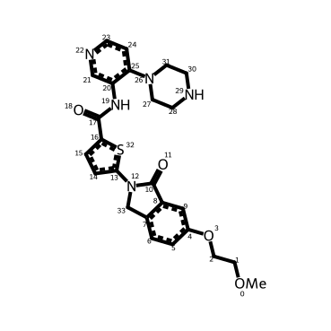 COCCOc1ccc2c(c1)C(=O)N(c1ccc(C(=O)Nc3cnccc3N3CCNCC3)s1)C2